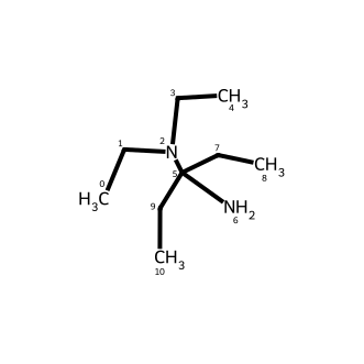 CCN(CC)C(N)(CC)CC